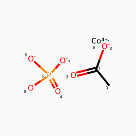 CC(=O)[O-].O=P([O-])([O-])[O-].[Co+4]